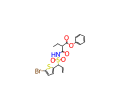 C=CC(c1ccc(Br)s1)S(=O)(=O)NC(=O)C(CC)C(=O)Oc1ccccc1